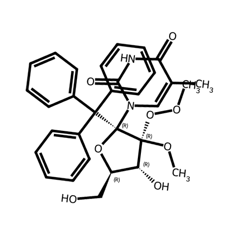 COO[C@]1(OC)[C@H](O)[C@@H](CO)O[C@]1(n1cc(C)c(=O)[nH]c1=O)C(c1ccccc1)(c1ccccc1)c1ccccc1